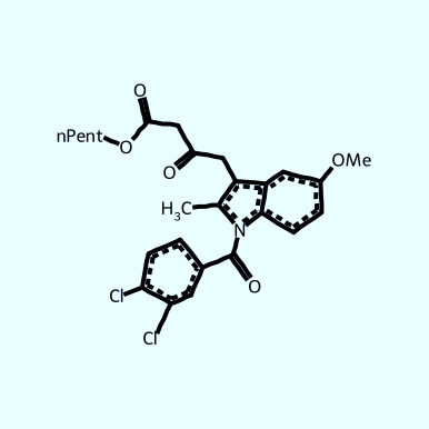 CCCCCOC(=O)CC(=O)Cc1c(C)n(C(=O)c2ccc(Cl)c(Cl)c2)c2ccc(OC)cc12